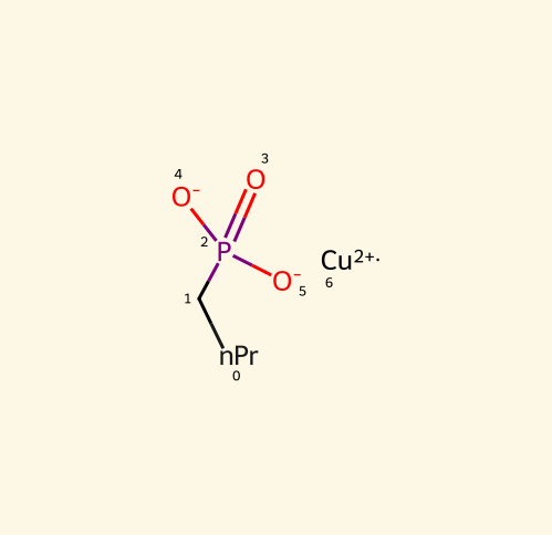 CCCCP(=O)([O-])[O-].[Cu+2]